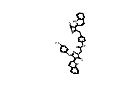 Nc1ccc(SC2=NN(CC(=O)Nc3ccc(CC4=NNC(=O)C4=C4C=Cc5ccccc5N4)cc3)C(=O)C2=C2C=Cc3ccccc3N2)cc1